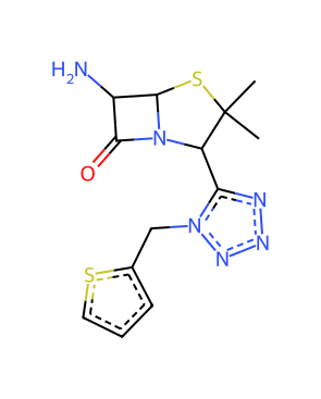 CC1(C)SC2C(N)C(=O)N2C1c1nnnn1Cc1cccs1